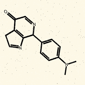 CN(C)c1ccc(C2N=CC(=O)C3=C2N=CC3)cc1